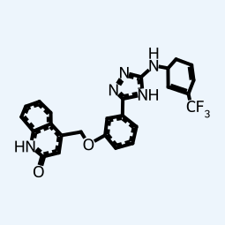 O=c1cc(COc2cccc(-c3nnc(NC4C=C(C(F)(F)F)C=CC4)[nH]3)c2)c2ccccc2[nH]1